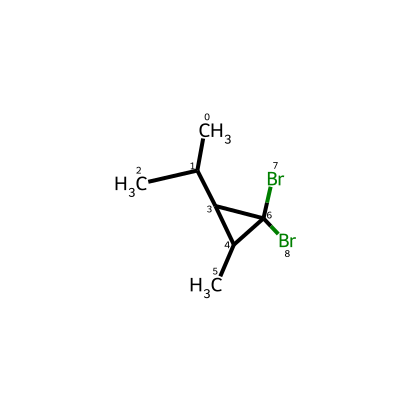 CC(C)C1C(C)C1(Br)Br